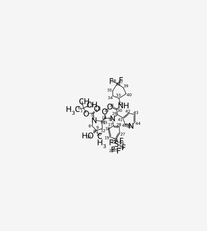 CC(C)(C)OC(=O)N1C[C@](C)(O)C[C@@H]1C(=O)N(c1ccc(S(F)(F)(F)(F)F)cc1)C(C(=O)NC1CCC(F)(F)CC1)c1cccnc1